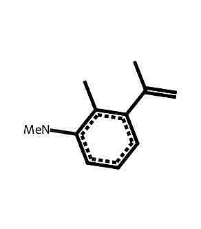 C=C(C)c1cccc(NC)c1C